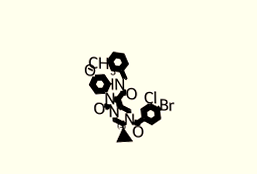 COc1ccc(-n2c(C(=O)NCc3ccccc3)c3n(c2=O)C[C@H](C2CC2)N(C(=O)c2ccc(Br)c(Cl)c2)C3)cc1